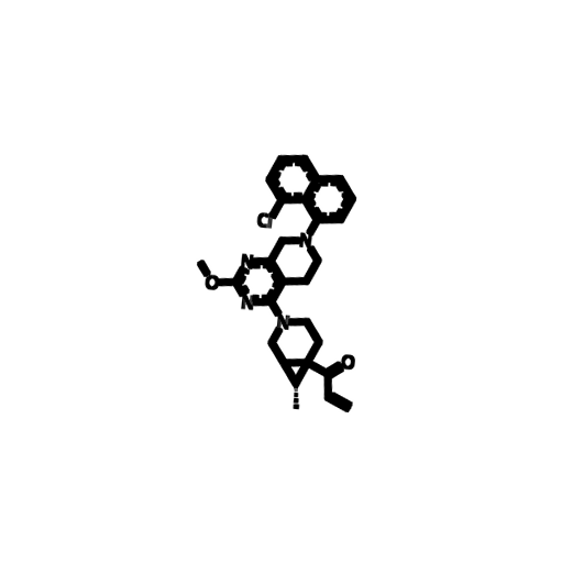 C=CC(=O)C12CCN(c3nc(OC)nc4c3CCN(c3cccc5cccc(Cl)c35)C4)CC1[C@H]2C